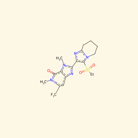 CCS(=O)(=O)c1c(-c2nc3cc(C(F)(F)F)n(C)c(=O)c3n2C)nc2n1CCCC2